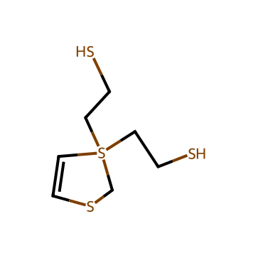 SCCS1(CCS)C=CSC1